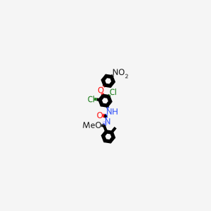 CO/C(=N\C(=O)Nc1cc(Cl)c(Oc2ccc([N+](=O)[O-])cc2)c(Cl)c1)c1ccccc1C